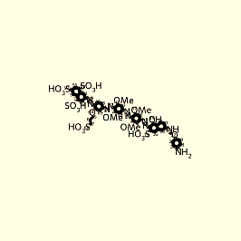 COc1cc(N=Nc2cc(OC)c(N=Nc3c(S(=O)(=O)O)cc4cc(NCOc5ccc(N)cc5)ccc4c3O)cc2OC)c(OC)cc1N=Nc1ccc(N=Nc2cc3c(S(=O)(=O)O)cc(S(=O)(=O)O)cc3cc2S(=O)(=O)O)c(OCCCS(=O)(=O)O)c1